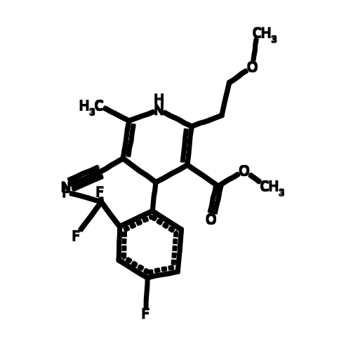 COCCC1=C(C(=O)OC)C(c2ccc(F)cc2C(F)(F)F)C(C#N)=C(C)N1